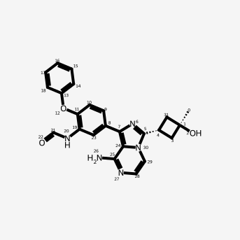 C[C@]1(O)C[C@H](c2nc(-c3ccc(Oc4ccccc4)c(NC=O)c3)c3c(N)nccn32)C1